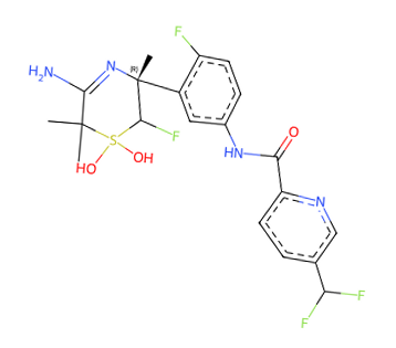 CC1(C)C(N)=N[C@](C)(c2cc(NC(=O)c3ccc(C(F)F)cn3)ccc2F)C(F)S1(O)O